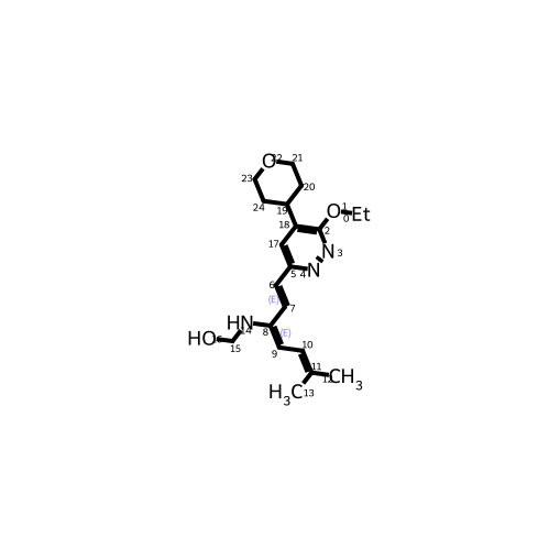 CCOc1nnc(/C=C/C(=C\C=C(C)C)NCO)cc1C1CCOCC1